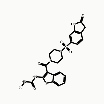 CCNC(=O)Nc1sc2ccccc2c1C(=O)N1CCN(S(=O)(=O)c2ccc3c(c2)NC(=O)C3)CC1